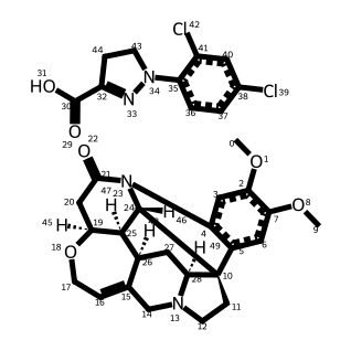 COc1cc2c(cc1OC)[C@@]13CCN4CC5=CCO[C@H]6CC(=O)N2[C@H]1[C@H]6[C@H]5C[C@H]43.O=C(O)C1=NN(c2ccc(Cl)cc2Cl)CC1